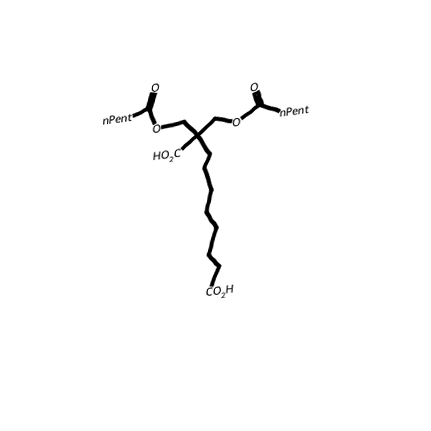 CCCCCC(=O)OCC(CCCCCCCC(=O)O)(COC(=O)CCCCC)C(=O)O